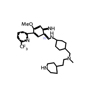 COC1=CC(=N)/C(=C\NC2CCC(CN(C)CCC3CCNCC3)CC2)C=C1c1cccc(C(F)(F)F)n1